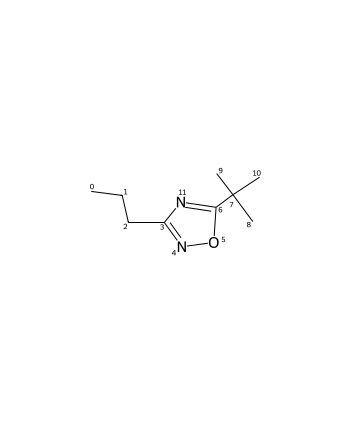 CCCc1noc(C(C)(C)C)n1